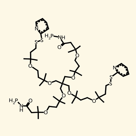 CC(C)(CCSSc1ccccn1)OCCC(C)(C)OCC(COC(C)(C)CCOC(C)(C)CCSSc1ccccn1)(COC(C)(C)CCOC(C)(C)CC(=O)NP)COC(C)(C)CCOC(C)(C)CC(=O)NP